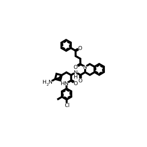 Cc1cc(NC(=O)C(CC23CC(N)(C2)C3)NC(=O)C2Cc3ccccc3CN2C(=O)CCC(=O)c2ccccc2)ccc1Cl